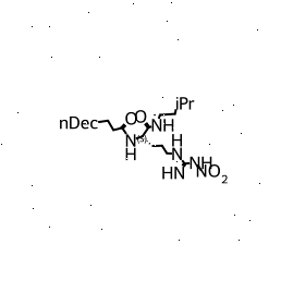 CCCCCCCCCCCCC(=O)N[C@@H](CCCNC(=N)N[N+](=O)[O-])C(=O)N[CH]CC(C)C